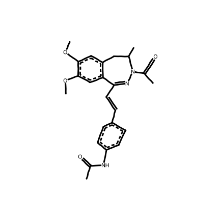 COc1cc2c(cc1OC)C(C=Cc1ccc(NC(C)=O)cc1)=NN(C(C)=O)C(C)C2